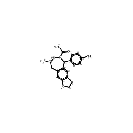 CNC(=O)N1N[C@H](C)Cc2cc3c(cc2C1c1ccc(N)cc1)OCO3